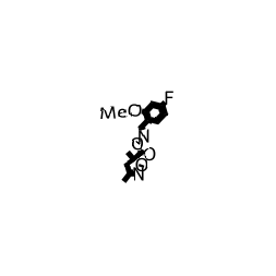 COc1cc(F)ccc1/C=N/OC(=O)C1(C)CC(C)=NO1